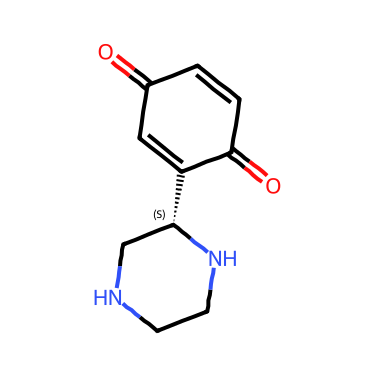 O=C1C=CC(=O)C([C@H]2CNCCN2)=C1